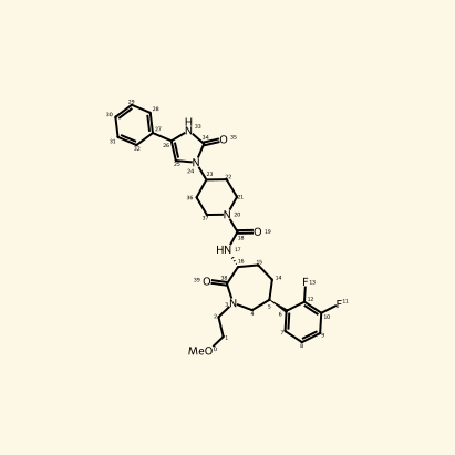 COCCN1C[C@H](c2cccc(F)c2F)CC[C@@H](NC(=O)N2CCC(n3cc(-c4ccccc4)[nH]c3=O)CC2)C1=O